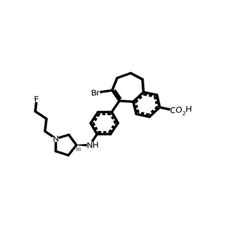 O=C(O)c1ccc2c(c1)CCCC(Br)=C2c1ccc(N[C@H]2CCN(CCCF)C2)cc1